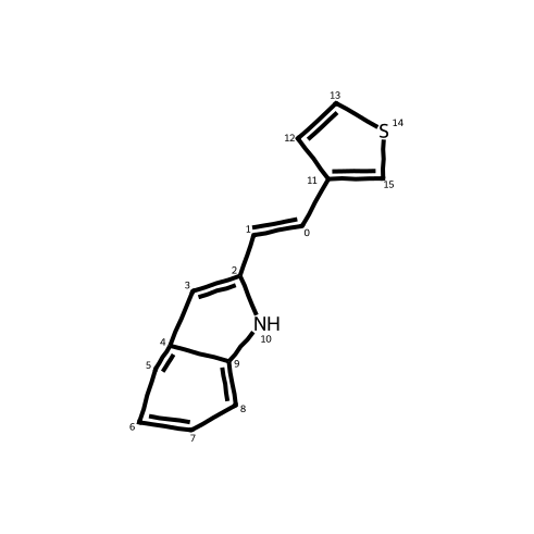 C(=Cc1cc2ccccc2[nH]1)c1ccsc1